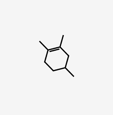 CC1=C(C)CC(C)CC1